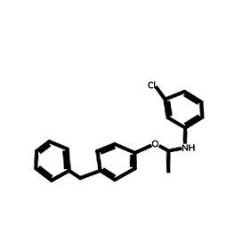 CC(Nc1cccc(Cl)c1)Oc1ccc(Cc2ccccc2)cc1